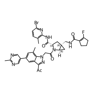 CC(=O)c1nn(CC(=O)N2[C@H](C(=O)Nc3nc(Br)ccc3C)C[C@@]3(CNC(=O)C4=C(F)CCC4)C[C@@H]23)c2c(C)cc(-c3cnc(C)nc3)cc12